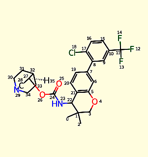 CC1(C)COc2cc(-c3cc(C(F)(F)F)ccc3Cl)ccc2C1NC(=O)O[C@H]1CN2CCC1CC2